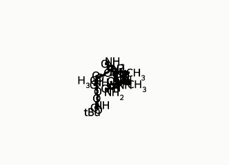 CCn1nc(C)cc1C(=O)Nc1nc2cc(C(N)=O)cc(OC)c2n1C/C=C/Cn1c(NC(=O)c2cc(C)nn2CC)nc2cc(C(N)=O)cc(OCCCOC(=O)[C@H](C)NC(=O)CCOCCOCCNC(=O)OC(C)(C)C)c21